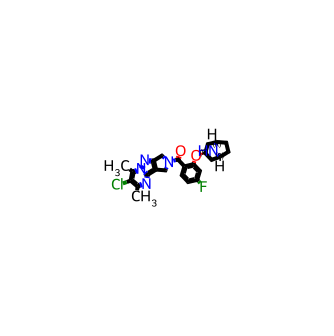 Cc1nc2c3c(nn2c(C)c1Cl)CN(C(=O)c1ccc(F)cc1O[C@H]1C[C@H]2CC[C@@H](C1)N2)C3